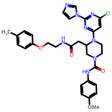 COc1ccc(NC(=O)N2CCN(c3cc(Cl)nc(-n4ccnc4)n3)C(CC(=O)NCCOc3ccc(C)cc3)C2)cc1